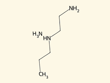 CCCNCCN.N